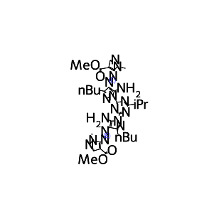 CCCCc1nn(-c2nc(C(C)C)nc(-n3nc(CCCC)c(/N=N/c4c(C(=O)OC)cnn4C)c3N)n2)c(N)c1/N=N/c1c(C(=O)OC)cnn1C